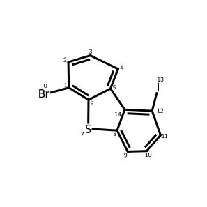 Brc1cccc2c1sc1cccc(I)c12